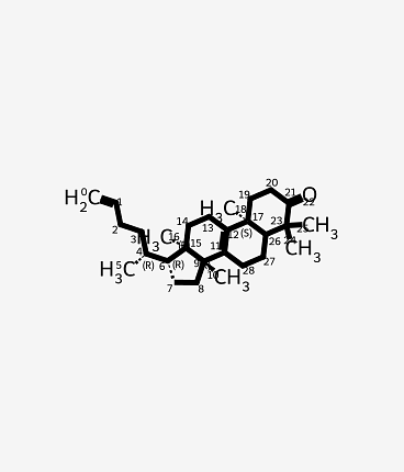 C=CCC[C@@H](C)[C@H]1CC[C@@]2(C)C3=C(CC[C@]12C)[C@@]1(C)CCC(=O)C(C)(C)C1CC3